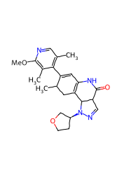 COc1ncc(C)c(C2=CC3=C(CC2C)C2C(C=NN2[C@H]2CCOC2)C(=O)N3)c1C